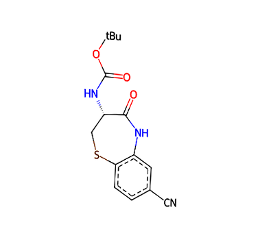 CC(C)(C)OC(=O)N[C@H]1CSc2ccc(C#N)cc2NC1=O